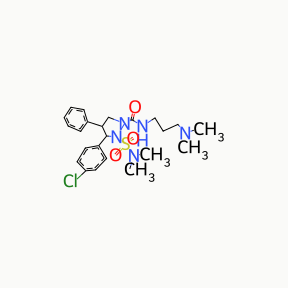 CN(C)CCCNC(=O)N1CC(c2ccccc2)C(c2ccc(Cl)cc2)N1S(=O)(=O)N(C)C